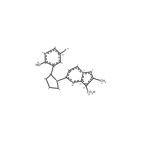 Cc1nn2ccc(N3CCCC3c3cc(F)cnc3O)nc2c1C(=O)O